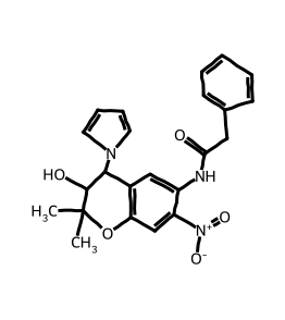 CC1(C)Oc2cc([N+](=O)[O-])c(NC(=O)Cc3ccccc3)cc2C(n2cccc2)C1O